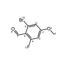 COc1cc(F)c(C=O)c(Br)c1